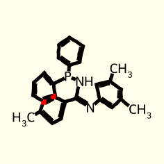 Cc1ccc(C(=Nc2cc(C)cc(C)c2)NP(c2ccccc2)c2ccccc2)cc1